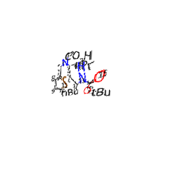 CCCCC(CC(CCC)N(Cc1cccs1)C(=O)O)NC(=O)OC(C)(C)C